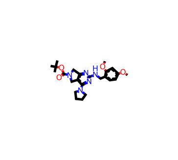 COc1ccc(CNc2nc3c(c(N4CCCC4)n2)CN(C(=O)OC(C)(C)C)C3)c(OC)c1